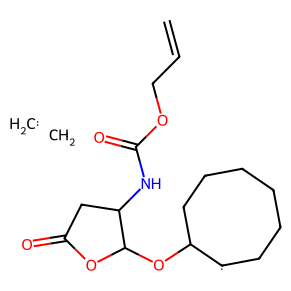 C=CCOC(=O)NC1CC(=O)OC1OC1[CH]CCCCCC1.[CH2].[CH2]